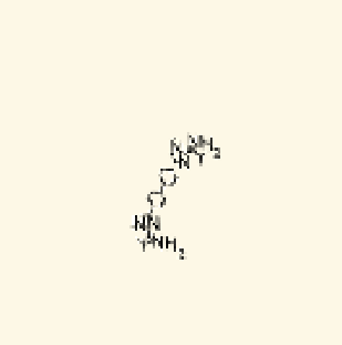 CC(C)[C@H](N)c1nc(-c2ccc(-c3ccc(-c4cn(C)c([C@@H](N)C(C)C)n4)cc3)cc2)cn1C